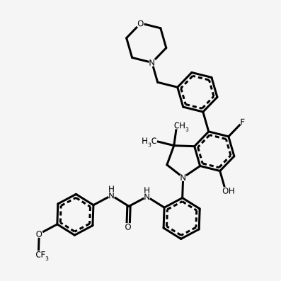 CC1(C)CN(c2ccccc2NC(=O)Nc2ccc(OC(F)(F)F)cc2)c2c(O)cc(F)c(-c3cccc(CN4CCOCC4)c3)c21